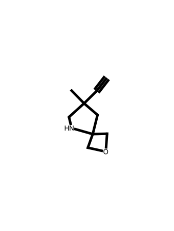 C#CC1(C)CNC2(COC2)C1